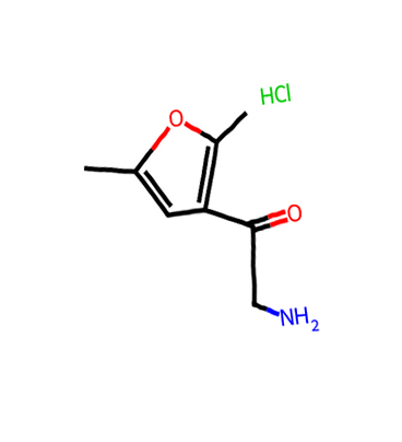 Cc1cc(C(=O)CN)c(C)o1.Cl